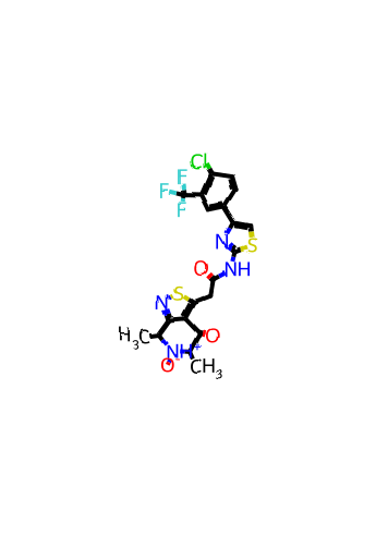 CC1C(=O)c2c(nsc2CC(=O)Nc2nc(-c3ccc(Cl)c(C(F)(F)F)c3)cs2)C(C)[NH+]1[O-]